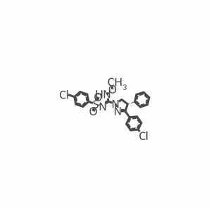 CON/C(=N\S(=O)(=O)c1ccc(Cl)cc1)N1C[C@H](c2ccccc2)C(c2ccc(Cl)cc2)=N1